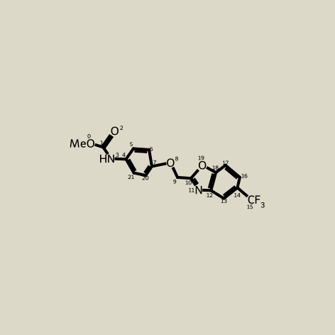 COC(=O)Nc1ccc(OCc2nc3cc(C(F)(F)F)ccc3o2)cc1